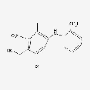 Cc1c(Nc2ccccc2C(=O)O)cc(Br)c(CC#N)c1[N+](=O)[O-]